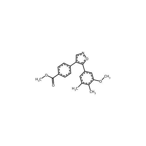 COC(=O)c1ccc(-c2cnoc2-c2cc(C)c(C)c(OC)c2)cc1